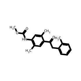 COC(=O)Nc1cc(C)c(C(=O)Cc2ccccc2C)cc1C